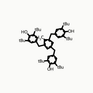 Cc1c(Cc2cc(C(C)(C)C)c(O)c(C(C)(C)C)c2)cc(Cc2cc(C(C)(C)C)c(O)c(C(C)(C)C)c2)cc1Cc1cc(C(C)(C)C)c(O)c(C(C)(C)C)c1